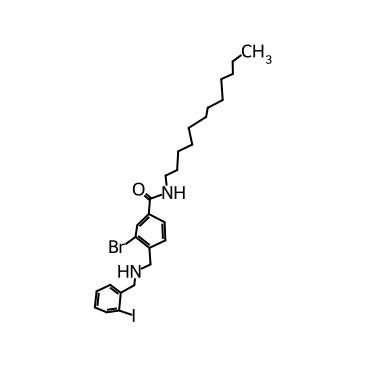 CCCCCCCCCCCCNC(=O)c1ccc(CNCc2ccccc2I)c(Br)c1